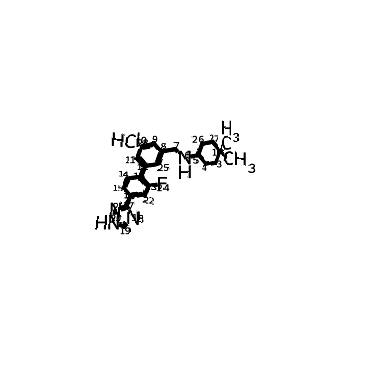 CC1(C)CCC(NCc2cccc(-c3ccc(-c4nc[nH]n4)cc3F)c2)CC1.Cl